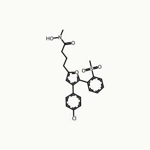 CN(O)C(=O)CCCc1cc(-c2ccc(Cl)cc2)c(-c2ccccc2S(C)(=O)=O)o1